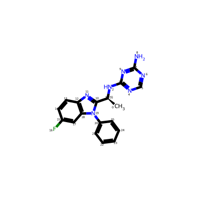 C[C@H](Nc1ncnc(N)n1)c1nc2ccc(F)cc2n1-c1ccccc1